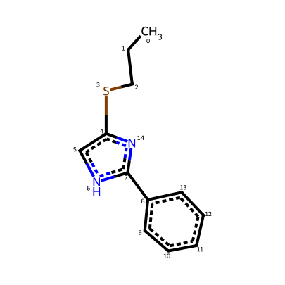 CCCSc1c[nH]c(-c2ccccc2)n1